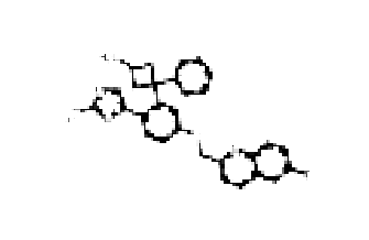 Cc1nc(-c2ccc(OCc3ccc4cc(F)ccc4n3)cc2C2(c3ccccc3)CC(C)C2)co1